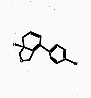 Brc1ccc(C2=C3COC[C@@H]3CC=C2)cc1